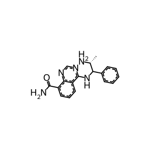 C[C@@H](N)C(Nc1ncnc2c(C(N)=O)cccc12)c1ccccc1